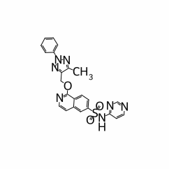 Cc1nn(-c2ccccc2)nc1COc1nccc2cc(S(=O)(=O)Nc3ccncn3)ccc12